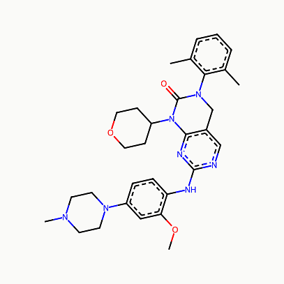 COc1cc(N2CCN(C)CC2)ccc1Nc1ncc2c(n1)N(C1CCOCC1)C(=O)N(c1c(C)cccc1C)C2